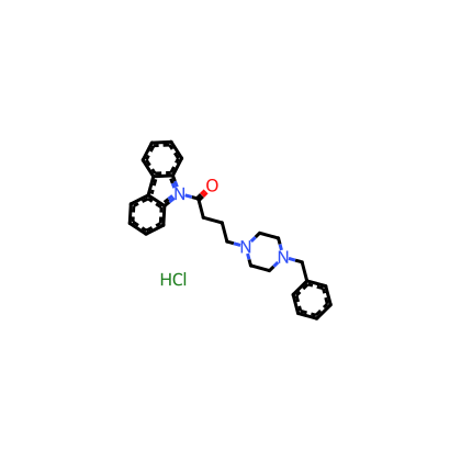 Cl.O=C(CCCN1CCN(Cc2ccccc2)CC1)n1c2ccccc2c2ccccc21